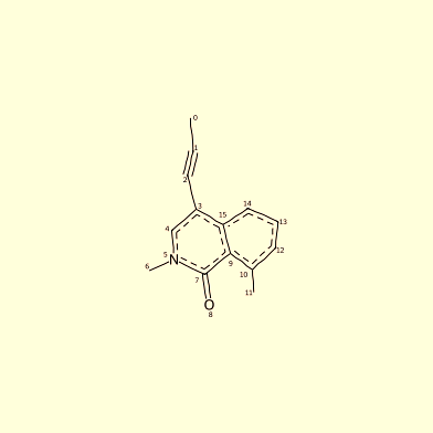 CC#Cc1cn(C)c(=O)c2c(C)cccc12